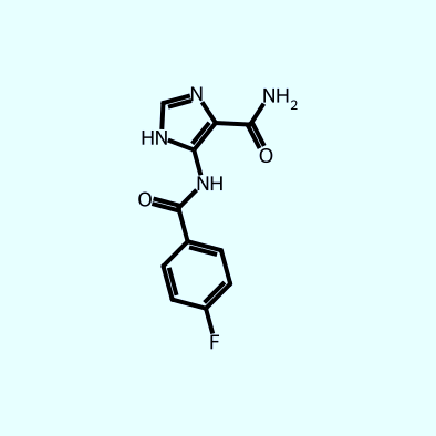 NC(=O)c1nc[nH]c1NC(=O)c1ccc(F)cc1